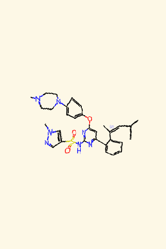 C/C(=C/C(C)C)c1ccccc1-c1cc(Oc2ccc(N3CCN(C)CC3)cc2)nc(NS(=O)(=O)c2cnn(C)c2)n1